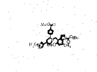 COC(=O)c1ccc([C@@H]2CC(c3cnn(C)c3)CCN2Cc2c(OC)cc(C)c3c2ccn3C(=O)OC(C)(C)C)cc1